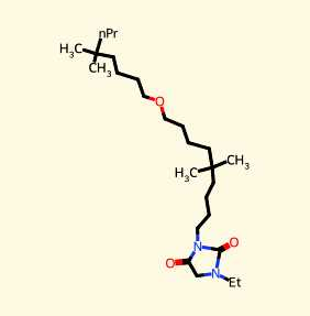 CCCC(C)(C)CCCCOCCCCC(C)(C)CCCCN1C(=O)CN(CC)C1=O